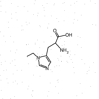 CCn1cncc1CC(N)C(=O)O